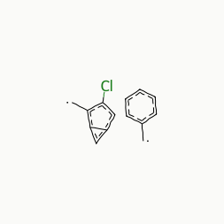 [CH2]c1c(Cl)cc2cc1-2.[CH2]c1ccccc1